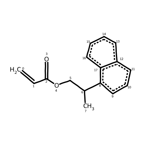 C=CC(=O)OCC(C)c1cccc2ccccc12